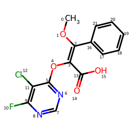 COC(=C(Oc1ncnc(F)c1Cl)C(=O)O)c1ccccc1